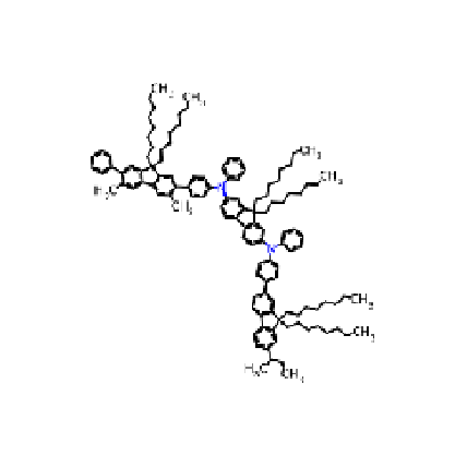 CCCCCCCCC1(CCCCCCCC)c2cc(-c3ccc(N(c4ccccc4)c4ccc5c(c4)C(CCCCCCCC)(CCCCCCCC)c4cc(N(c6ccccc6)c6ccc(-c7cc8c(cc7C)-c7cc(C)c(-c9ccccc9)cc7C8(CCCCCCCC)CCCCCCCC)cc6)ccc4-5)cc3)ccc2-c2ccc(C(C)CC)cc21